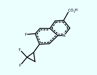 O=C(O)c1cnc2cc(C3CC3(F)F)c(F)cc2c1